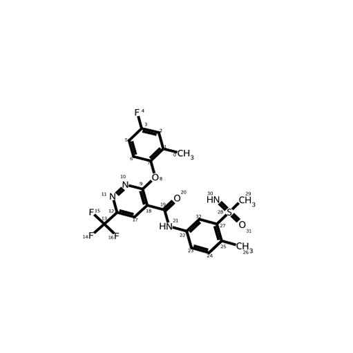 Cc1cc(F)ccc1Oc1nnc(C(F)(F)F)cc1C(=O)Nc1ccc(C)c(S(C)(=N)=O)c1